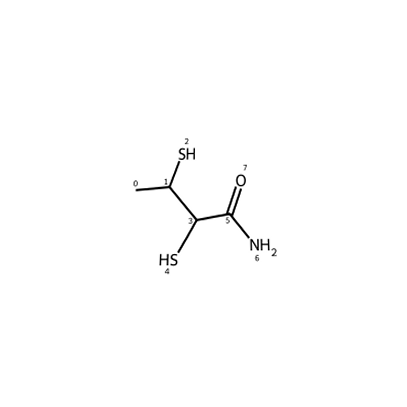 CC(S)C(S)C(N)=O